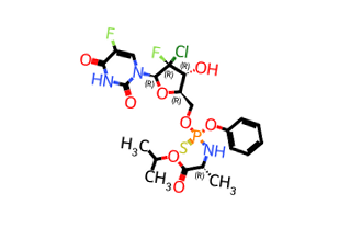 CC(C)OC(=O)[C@@H](C)NP(=S)(OC[C@H]1O[C@@H](n2cc(F)c(=O)[nH]c2=O)[C@](F)(Cl)[C@@H]1O)Oc1ccccc1